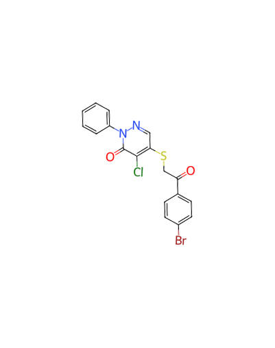 O=C(CSc1cnn(-c2ccccc2)c(=O)c1Cl)c1ccc(Br)cc1